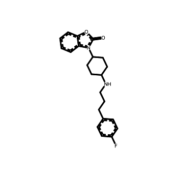 O=c1oc2ccccc2n1C1CCC(NCCCc2ccc(F)cc2)CC1